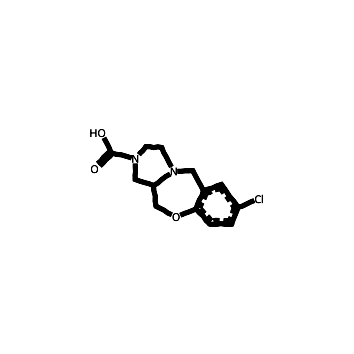 O=C(O)N1CCN2Cc3cc(Cl)ccc3OCC2C1